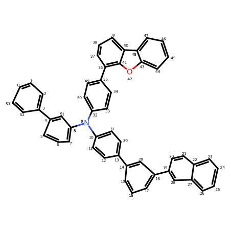 c1ccc(-c2cccc(N(c3ccc(-c4cccc(-c5ccc6ccccc6c5)c4)cc3)c3ccc(-c4cccc5c4oc4ccccc45)cc3)c2)cc1